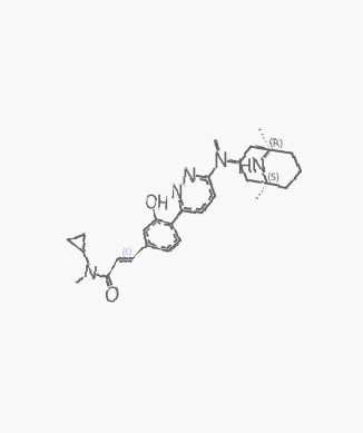 CN(C(=O)/C=C/c1ccc(-c2ccc(N(C)C3C[C@]4(C)CCC[C@](C)(C3)N4)nn2)c(O)c1)C1CC1